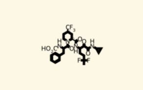 CC(F)(F)CCC(NC(=O)[C@@H]1C[C@H](C(F)(F)F)CCN1C(=O)C(Cc1ccccc1)NC(=O)O)C(=O)C(=O)NC1CC1